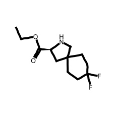 CCOC(=O)[C@@H]1CC2(CCC(F)(F)CC2)CN1